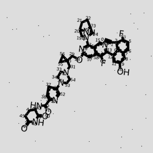 C#Cc1c(F)ccc2cc(O)cc(-c3ncc4c(N5CC6CCC(C5)N6)nc(OCC5(CN6CCN(c7ccc(C(=O)NC8CCC(=O)NC8=O)nc7)CC6)CC5)cc4c3F)c12